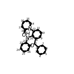 O=C(c1ccccc1)c1cccc(-n2ccccc2=O)c1Nc1ccccc1